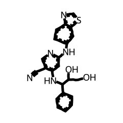 N#Cc1cnc(Nc2ccc3ncsc3c2)cc1NC(c1ccccc1)C(O)CO